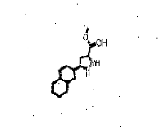 COC(O)C1CC(C2CCC3CCCCC3C2)NN1